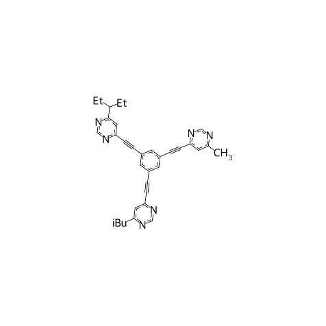 CCC(C)c1cc(C#Cc2cc(C#Cc3cc(C)ncn3)cc(C#Cc3cc(C(CC)CC)ncn3)c2)ncn1